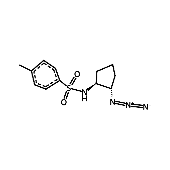 Cc1ccc(S(=O)(=O)N[C@H]2CCC[C@@H]2N=[N+]=[N-])cc1